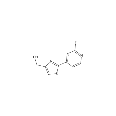 OCc1csc(-c2ccnc(F)c2)n1